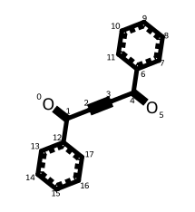 O=C(C#CC(=O)c1ccccc1)c1ccccc1